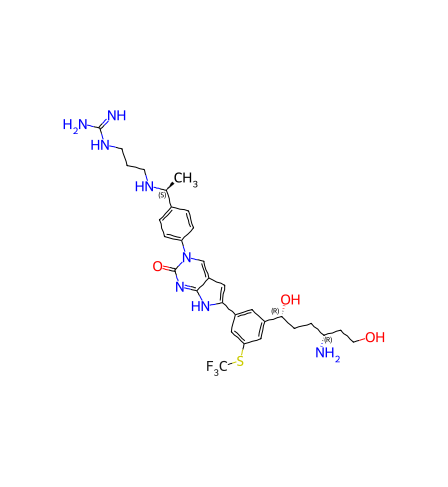 C[C@H](NCCCNC(=N)N)c1ccc(-n2cc3cc(-c4cc(SC(F)(F)F)cc([C@H](O)CC[C@@H](N)CCO)c4)[nH]c3nc2=O)cc1